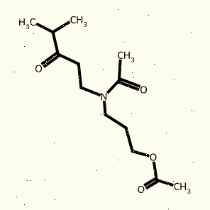 CC(=O)OCCCN(CCC(=O)C(C)C)C(C)=O